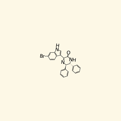 O=C1N[C@H](c2ccccc2)[C@@H](c2ccccc2)N=C1c1c[nH]c2cc(Br)ccc12